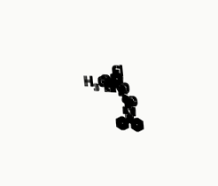 COC(=O)c1cc(Cl)ccc1NC(=O)CSCC(=O)N1CCN(C(c2ccccc2)c2ccccc2)CC1